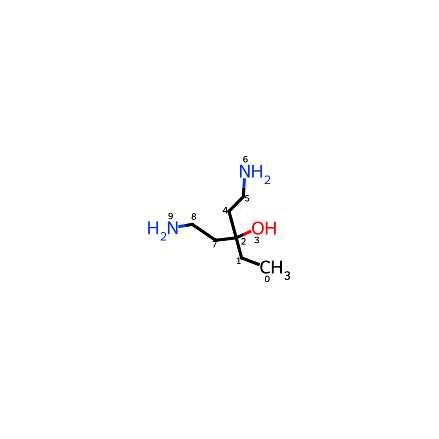 CCC(O)(CCN)CCN